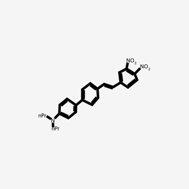 CCCN(CCC)c1ccc(-c2ccc(C=Cc3ccc([N+](=O)[O-])c([N+](=O)[O-])c3)cc2)cc1